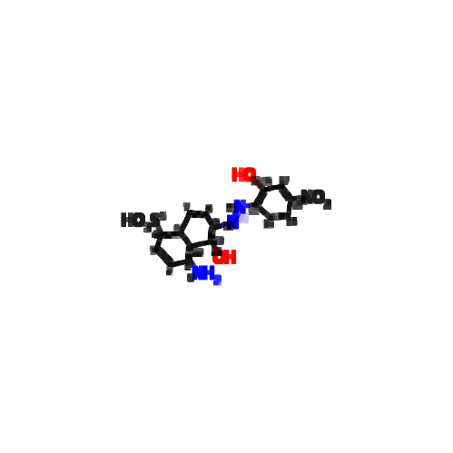 Nc1ccc(S(=O)(=O)O)c2ccc(/N=N/c3ccc([N+](=O)[O-])cc3O)c(O)c12